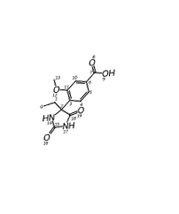 CCC1(c2ccc(C(=O)O)cc2OC)NC(=O)NC1=O